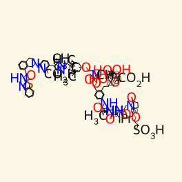 Cc1c(-c2ccc(N3CCc4cccc(C(=O)Nc5nc6ccccc6s5)c4C3)nc2C(=O)O)cnn1CC12CC3(C)CC(OCCN(C)C(=O)OCc4ccc(NC(=O)[C@H](C)NC(=O)[C@@H](NC(=O)CN5C(=O)CC[C@H]5COCCS(=O)(=O)O)C(C)C)cc4CC[C@@H]4O[C@H](C(=O)O)[C@@H](O)[C@H](O)[C@H]4O)(CC1(C)C3)C2